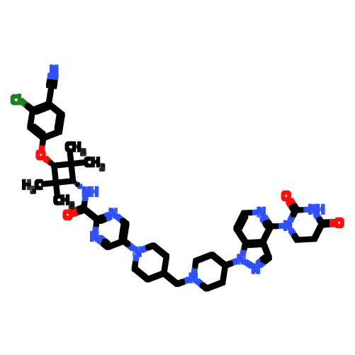 CC1(C)[C@H](NC(=O)c2ncc(N3CCC(CN4CCC(n5ncc6c(N7CCC(=O)NC7=O)nccc65)CC4)CC3)cn2)C(C)(C)[C@H]1Oc1ccc(C#N)c(Cl)c1